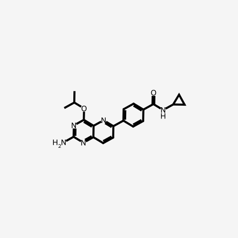 CC(C)Oc1nc(N)nc2ccc(-c3ccc(C(=O)NC4CC4)cc3)nc12